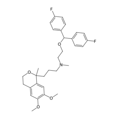 COc1cc2c(cc1OC)C(C)(CCCN(C)CCOC(c1ccc(F)cc1)c1ccc(F)cc1)OCC2